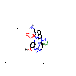 CCOc1ccc(NC(=O)/C=C/CN(C)C)cc1Nc1ncc(Cl)c(Nc2ccc3ccccc3c2)n1